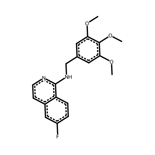 COc1cc(CNc2nccc3cc(F)ccc23)cc(OC)c1OC